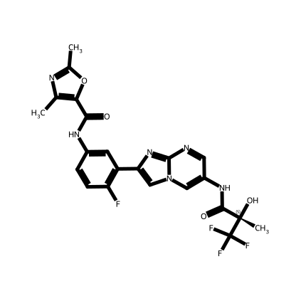 Cc1nc(C)c(C(=O)Nc2ccc(F)c(-c3cn4cc(NC(=O)[C@](C)(O)C(F)(F)F)cnc4n3)c2)o1